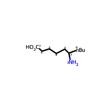 CCCCC(N)CCCCC(=O)O